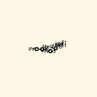 CCC(CC)NC(=O)Nc1ccc(Oc2ccc(NC(=O)c3ccc(C4=CCN(C(C)C)CC4)cc3)cc2)c(COC)c1